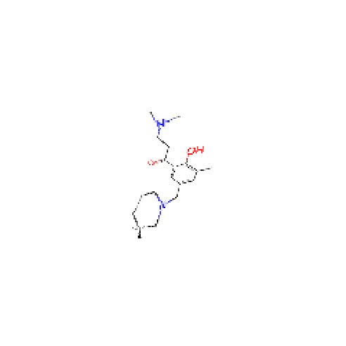 Cc1cc(CN2CCC[C@H](C)C2)cc(C(=O)CCN(C)C)c1O